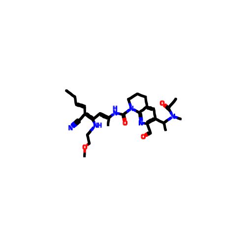 CC/C=C/C(C#N)=C(\C=C(/C)NC(=O)N1CCCc2cc(C(C)N(C)C(C)=O)c(C=O)nc21)NCCOC